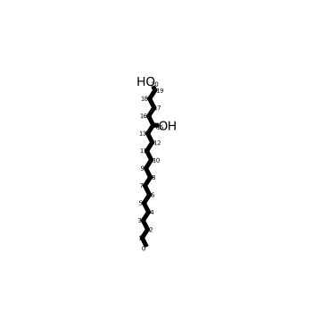 CCCCCCCCCCCCCCC(O)CCCCO